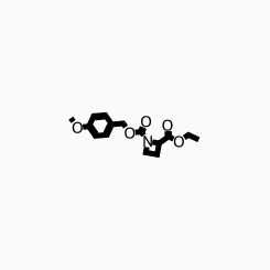 CCOC(=O)C1CCN1C(=O)OCc1ccc(OC)cc1